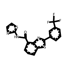 O=C(Nc1nccs1)c1cccc2sc(-c3cccc(C(F)(F)F)c3)nc12